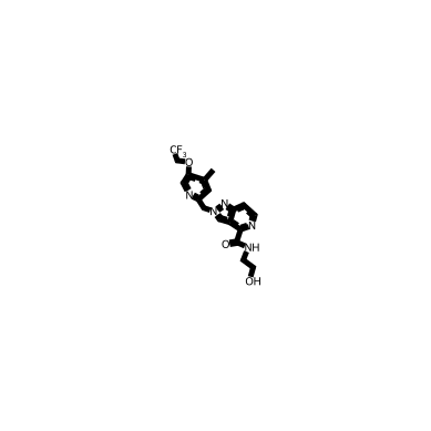 Cc1cc(Cn2cc3c(C(=O)NCCO)nccc3n2)ncc1OCC(F)(F)F